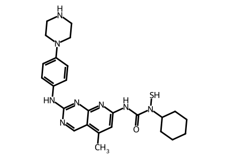 Cc1cc(NC(=O)N(S)C2CCCCC2)nc2nc(Nc3ccc(N4CCNCC4)cc3)ncc12